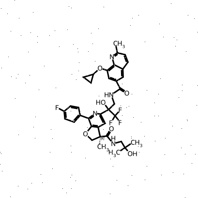 Cc1ccc2cc(C(=O)NCC(O)(c3cc4c(c(-c5ccc(F)cc5)n3)OC[C@]4(C)C(=O)NCC(C)(C)O)C(F)(F)F)cc(OC3CC3)c2n1